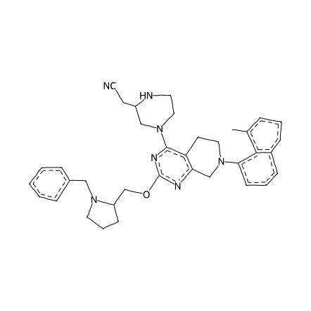 Cc1cccc2cccc(N3CCc4c(nc(OCC5CCCN5Cc5ccccc5)nc4N4CCNC(CC#N)C4)C3)c12